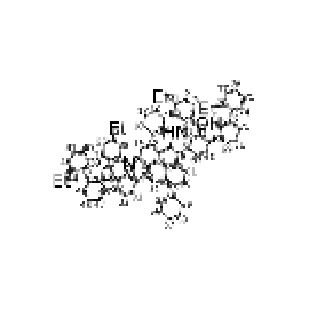 CCc1cccc(Nc2c(-c3cc4c(C5CCCCC5)cc(N(c5cccc(CC)c5)c5cccc6c5oc5c(-c7ccccc7CC)cccc56)c5ccc6c(C7CCCCC7)ccc3c6c45)ccc(-c3cccc(-c4ccccc4CC)c3)c2O)c1